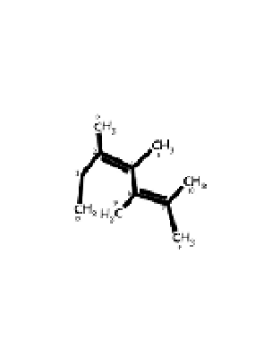 CCC(C)=C(C)C(C)=C(C)C